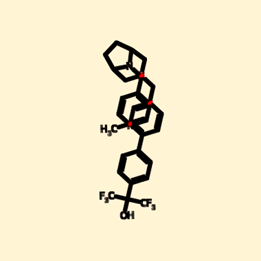 Cc1cc(CN2CC3CCC(C2)N3Cc2ccncc2)ccc1-c1ccc(C(O)(C(F)(F)F)C(F)(F)F)cc1